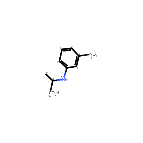 CC(Nc1cccc([N+](=O)[O-])c1)C(=O)O